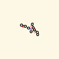 c1ccc(N(c2ccc(-c3ccc4c(c3)oc3ccccc34)cc2)c2cccc3c2oc2ccccc23)c(-c2cccc3c2oc2c4ccccc4ccc32)c1